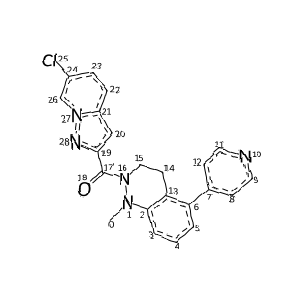 CN1c2cccc(-c3ccncc3)c2CCN1C(=O)c1cc2ccc(Cl)cn2n1